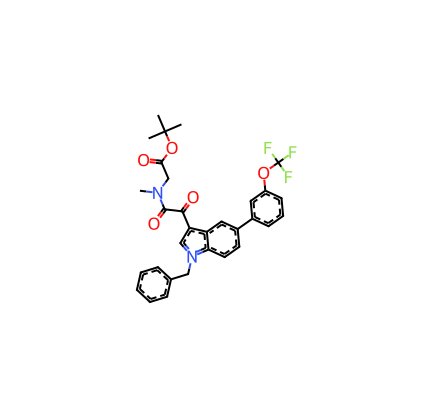 CN(CC(=O)OC(C)(C)C)C(=O)C(=O)c1cn(Cc2ccccc2)c2ccc(-c3cccc(OC(F)(F)F)c3)cc12